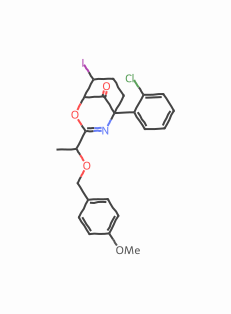 COc1ccc(COC(C)C2=NC3(c4ccccc4Cl)CCC(I)C(O2)C3=O)cc1